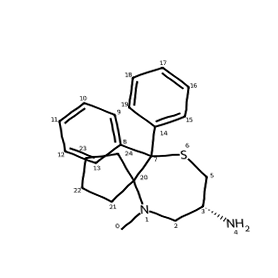 CN1C[C@@H](N)CSC(c2ccccc2)(c2ccccc2)C12CCCC2